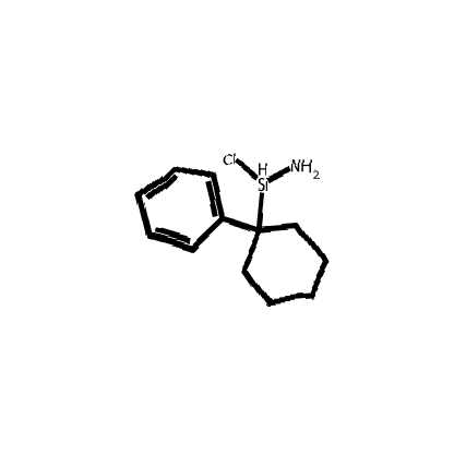 N[SiH](Cl)C1(c2ccccc2)CCCCC1